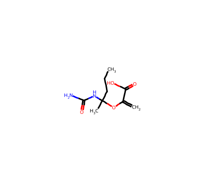 C=C(OC(C)(CCC)NC(N)=O)C(=O)O